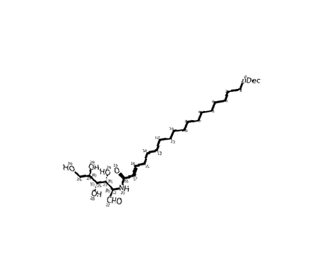 CCCCCCCCCCCCCCCCCCCCCCCCCC=CC(=O)N[C@@H](C=O)[C@@H](O)[C@H](O)[C@H](O)CO